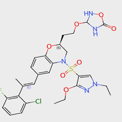 CCOc1nn(CC)cc1S(=O)(=O)N1C[C@H](CCOC2NOC(=O)N2)Oc2ccc(/C=C(\C)c3c(F)cccc3Cl)cc21